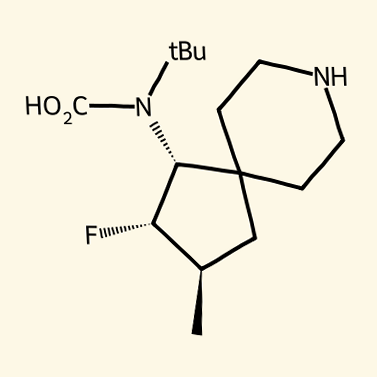 C[C@@H]1CC2(CCNCC2)[C@@H](N(C(=O)O)C(C)(C)C)[C@H]1F